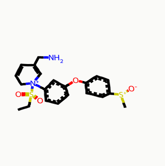 CCS(=O)(=O)[N+]1(c2cccc(Oc3ccc([S+](C)[O-])cc3)c2)C=C(CN)C=CC1